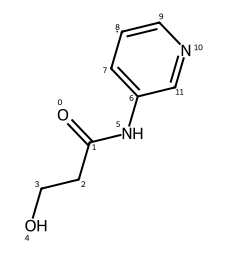 O=C(CCO)Nc1c[c]cnc1